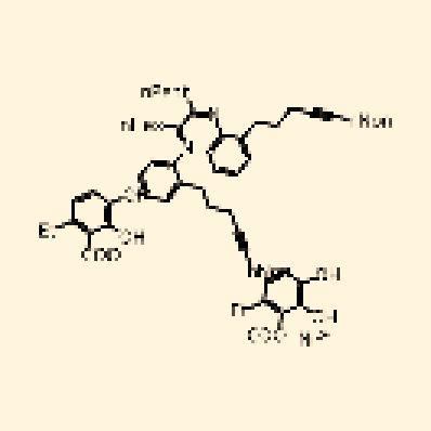 CCCCCCCCCC#CCCCc1ccccc1N=C(CCCCC)C(CCCCCC)=Nc1ccccc1CCCC#CCCCCCCCCC.CCc1ccc(O)c(O)c1C(=O)[O-].CCc1ccc(O)c(O)c1C(=O)[O-].[Ni+2]